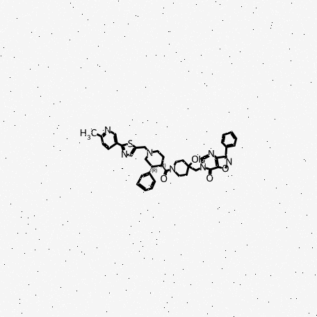 Cc1ccc(-c2ncc(CN3CC[C@@H](C(=O)N4CCC(O)(Cn5cnc6c(-c7ccccc7)noc6c5=O)CC4)[C@H](c4ccccc4)C3)s2)cn1